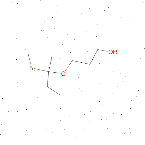 CCC(C)(OCCCO)SC